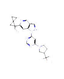 CC(C)(O)C1CCN(c2cc(-n3ncc4cnc(C5(C#N)CC56CC6)cc43)ncn2)C1